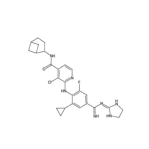 N=C(N=C1NCCN1)c1cc(F)c(Nc2nccc(C(=O)NC3CCC4CC3C4)c2Cl)c(C2CC2)c1